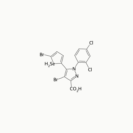 O=C(O)c1nn(-c2ccc(Cl)cc2Cl)c(C2=CC=C(Br)[SeH2]2)c1Br